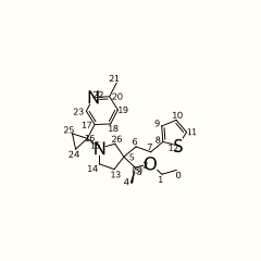 CCO[C@@H](C)C1(CCc2cccs2)CCN(C2(c3ccc(C)nc3)CC2)C1